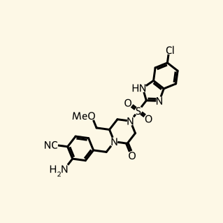 COCC1CN(S(=O)(=O)c2nc3ccc(Cl)cc3[nH]2)CC(=O)N1Cc1ccc(C#N)c(N)c1